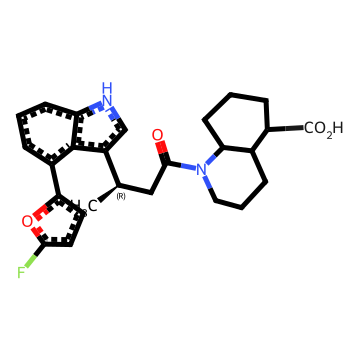 C[C@H](CC(=O)N1CCCC2C(C(=O)O)CCCC21)c1c[nH]c2cccc(-c3ccc(F)o3)c12